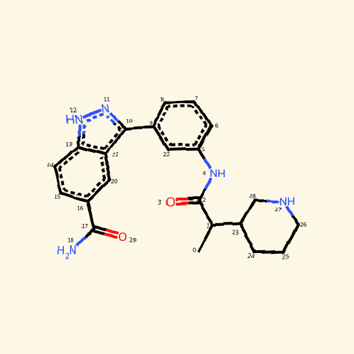 CC(C(=O)Nc1cccc(-c2n[nH]c3ccc(C(N)=O)cc23)c1)C1CCCNC1